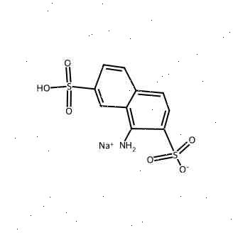 Nc1c(S(=O)(=O)[O-])ccc2ccc(S(=O)(=O)O)cc12.[Na+]